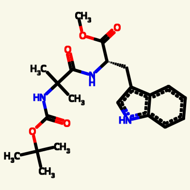 COC(=O)[C@H](Cc1c[nH]c2ccccc12)NC(=O)C(C)(C)NC(=O)OC(C)(C)C